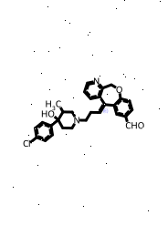 CC1CN(CC/C=C2/c3cc(C=O)ccc3OCc3ncccc32)CCC1(O)c1ccc(Cl)cc1